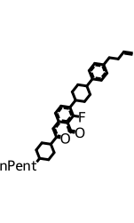 C=CCCc1ccc(C2CCC(c3ccc4cc(C5CCC(CCCCC)CC5)oc(=O)c4c3F)CC2)cc1